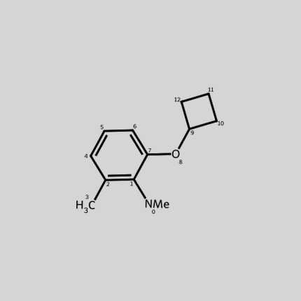 CNc1c(C)cccc1OC1CCC1